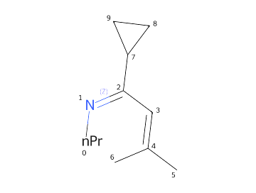 CCC/N=C(\C=C(C)C)C1CC1